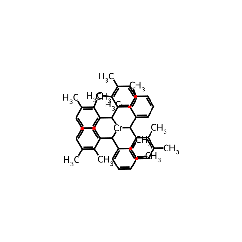 Cc1cccc([CH](c2cccc(C)c2C)[Cr]([CH](c2cccc(C)c2C)c2cccc(C)c2C)[CH](c2cccc(C)c2C)c2cccc(C)c2C)c1C